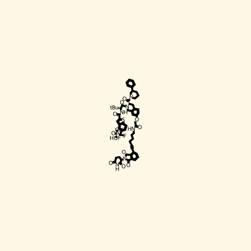 CC(C)(C)[C@H](NC(=O)c1cc2cc(C(F)(F)P(=O)(O)O)ccc2s1)C(=O)N1Cc2cc(OCC(=O)NCCCCC#Cc3cccc4c3C(=O)N(C3CCC(=O)NC3=O)C4=O)ccc2C[C@H]1C(=O)N1CCCC(c2ccccc2)C1